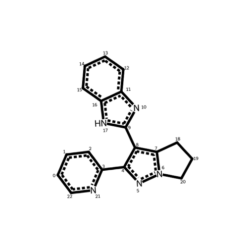 c1ccc(-c2nn3c(c2-c2nc4ccccc4[nH]2)CCC3)nc1